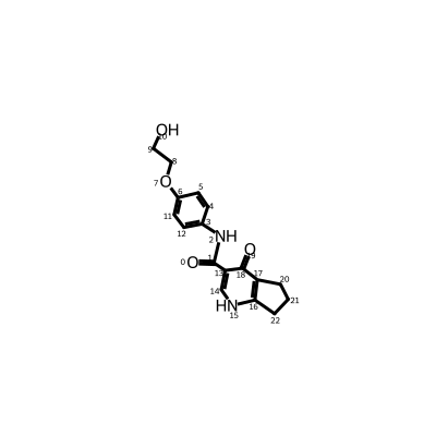 O=C(Nc1ccc(OCCO)cc1)c1c[nH]c2c(c1=O)CCC2